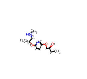 CCC(=O)COc1ccc(O[C@H](C)CNC)nc1